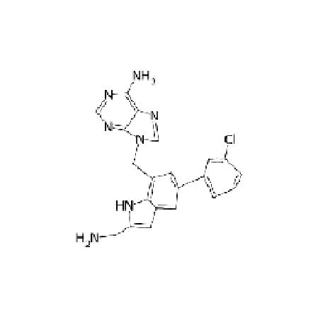 NCc1cc2cc(-c3cccc(Cl)c3)cc(Cn3cnc4c(N)ncnc43)c2[nH]1